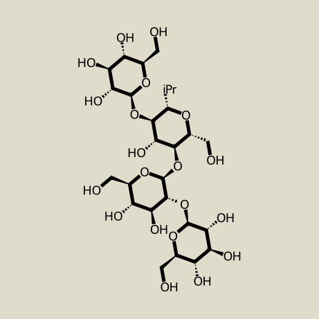 CC(C)[C@@H]1O[C@H](CO)[C@@H](O[C@@H]2O[C@H](CO)[C@@H](O)[C@H](O)[C@H]2O[C@@H]2O[C@H](CO)[C@@H](O)[C@H](O)[C@H]2O)[C@H](O)[C@H]1O[C@@H]1O[C@H](CO)[C@@H](O)[C@H](O)[C@H]1O